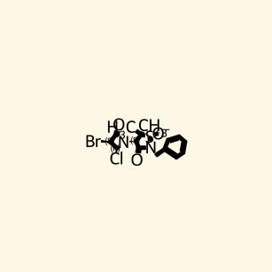 CC1(C)[C@@H](N2C(=O)[C@H](Br)[C@H]2Cl)C(=O)N(Cc2ccccc2)[S+]1[O-]